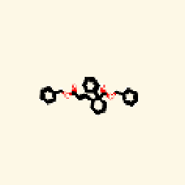 O=C(/C=C/C1=CCCCC1(C(=O)OCc1ccccc1)c1ccccc1)OCc1ccccc1